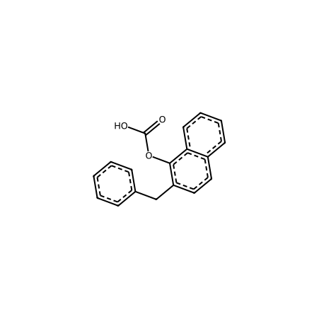 O=C(O)Oc1c(Cc2ccccc2)ccc2ccccc12